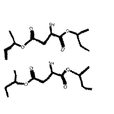 CCC(C)OC(=O)CC(S)C(=O)OC(C)CC.CCC(C)OC(=O)CC(S)C(=O)OC(C)CC